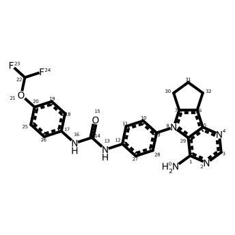 Nc1ncnc2c3c(n(-c4ccc(NC(=O)Nc5ccc(OC(F)F)cc5)cc4)c12)CCC3